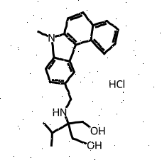 CC(C)C(CO)(CO)NCc1ccc2c(c1)c1c3ccccc3ccc1n2C.Cl